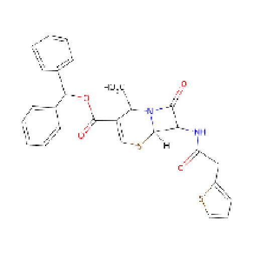 O=C(Cc1cccs1)NC1C(=O)N2C(C(=O)O)C(C(=O)OC(c3ccccc3)c3ccccc3)=CS[C@H]12